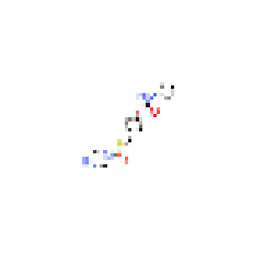 O=C(NC1CCCC1)Oc1ccc(CSC(=O)N2CCNCC2)cc1